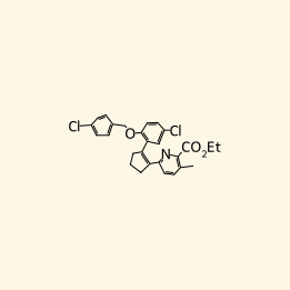 CCOC(=O)c1nc(C2=C(c3cc(Cl)ccc3OCc3ccc(Cl)cc3)CCC2)ccc1C